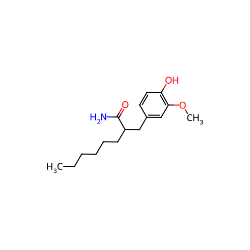 CCCCCCC(Cc1ccc(O)c(OC)c1)C(N)=O